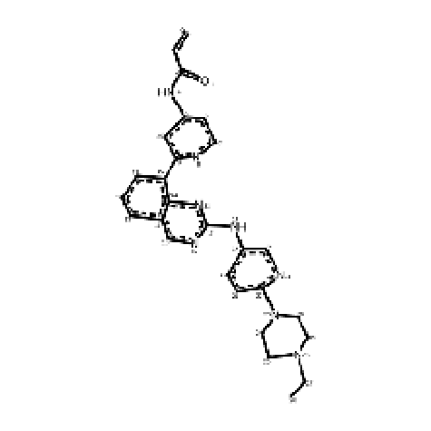 C=CC(=O)Nc1ccnc(-c2cccc3cnc(Nc4ccc(N5CCN(CC)CC5)nc4)nc23)c1